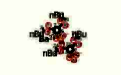 CCCCC(C)OC(=O)c1cc(C(=O)OC(C)CCCC)cc(S(=O)(=O)[O-])c1.CCCCC(C)OC(=O)c1cc(C(=O)OC(C)CCCC)cc(S(=O)(=O)[O-])c1.[Ba+2]